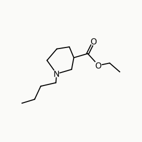 CCCCN1CCCC(C(=O)OCC)C1